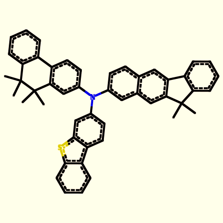 CC1(C)c2ccccc2-c2cc3ccc(N(c4ccc5c(c4)C(C)(C)C(C)(C)c4ccccc4-5)c4ccc5c(c4)sc4ccccc45)cc3cc21